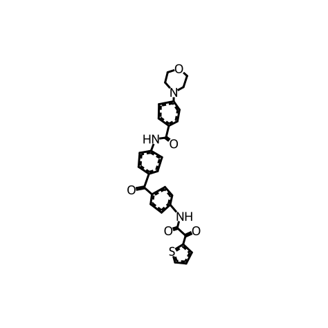 O=C(Nc1ccc(C(=O)c2ccc(NC(=O)c3ccc(N4CCOCC4)cc3)cc2)cc1)C(=O)c1cccs1